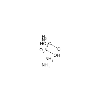 N.N.N.O=C(O)O.O=[N+]([O-])O